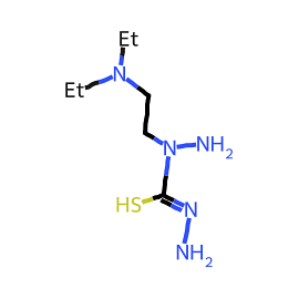 CCN(CC)CCN(N)C(S)=NN